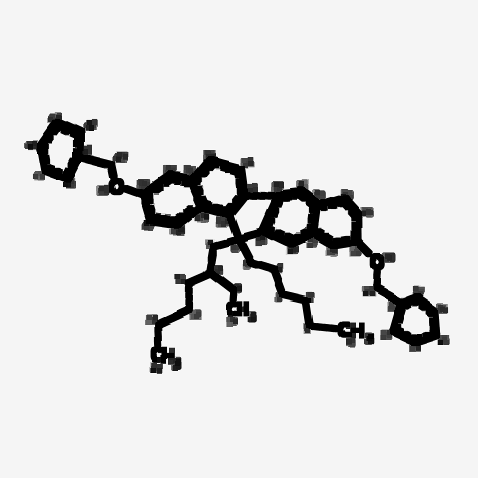 CCCCCCC1(CC(CC)CCCC)c2cc3cc(OCc4ccccc4)ccc3cc2-c2ccc3cc(OCc4ccccc4)ccc3c21